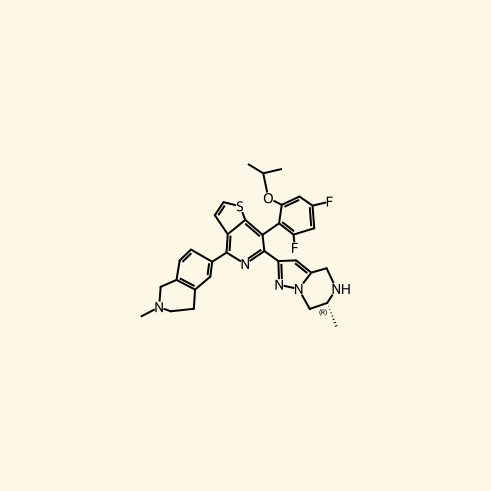 CC(C)Oc1cc(F)cc(F)c1-c1c(-c2cc3n(n2)C[C@@H](C)NC3)nc(-c2ccc3c(c2)CCN(C)C3)c2ccsc12